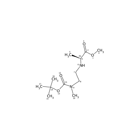 COC(=O)[C@H](C)NCCN(C)C(=O)OC(C)(C)C